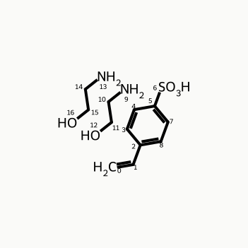 C=Cc1ccc(S(=O)(=O)O)cc1.NCCO.NCCO